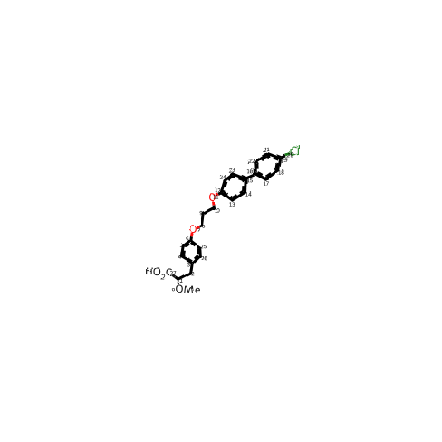 CO[C@@H](Cc1ccc(OCCCOc2ccc(-c3ccc(Cl)cc3)cc2)cc1)C(=O)O